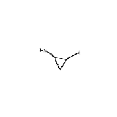 SC1CC1I